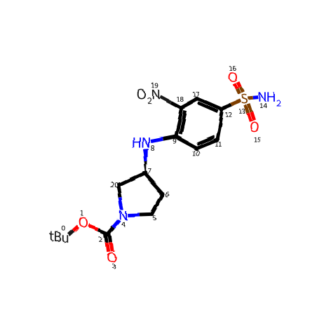 CC(C)(C)OC(=O)N1CC[C@H](Nc2ccc(S(N)(=O)=O)cc2[N+](=O)[O-])C1